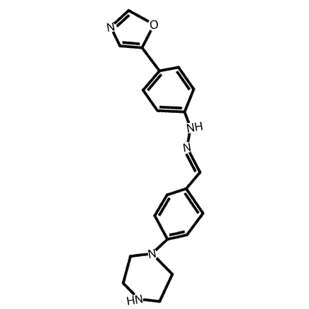 C(=N\Nc1ccc(-c2cnco2)cc1)/c1ccc(N2CCNCC2)cc1